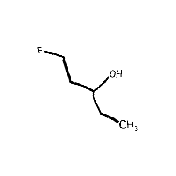 CCC(O)CCF